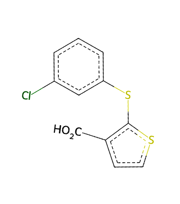 O=C(O)c1ccsc1Sc1cccc(Cl)c1